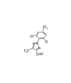 O=Cc1nn(-c2c(Cl)cc(C(F)(F)F)cc2Cl)nc1C(F)(F)F